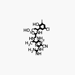 C=C(NCC(=O)NC(CC(=O)O)c1cc(Cl)cc(I)c1O)c1nc(NC(=N)N)c(C#N)nc1N